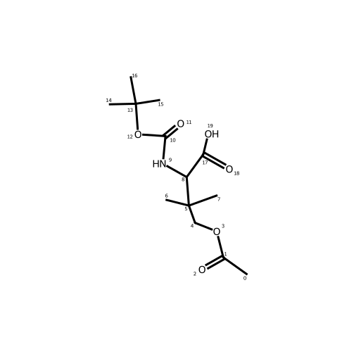 CC(=O)OCC(C)(C)C(NC(=O)OC(C)(C)C)C(=O)O